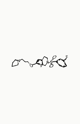 O=S(=O)(c1cccc(F)c1)N1CCc2cc(OCCCN3CCCC3)sc2C1